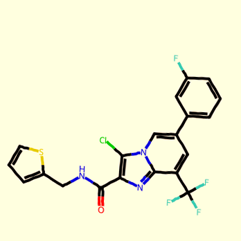 O=C(NCc1cccs1)c1nc2c(C(F)(F)F)cc(-c3cccc(F)c3)cn2c1Cl